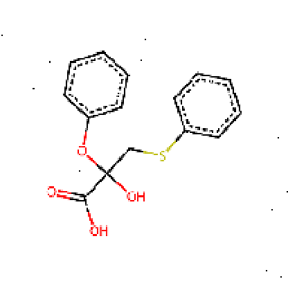 O=C(O)C(O)(CSc1ccccc1)Oc1ccccc1